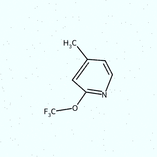 Cc1ccnc(OC(F)(F)F)c1